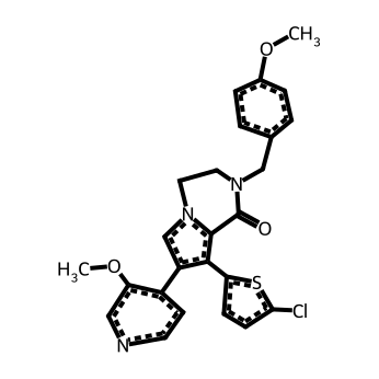 COc1ccc(CN2CCn3cc(-c4ccncc4OC)c(-c4ccc(Cl)s4)c3C2=O)cc1